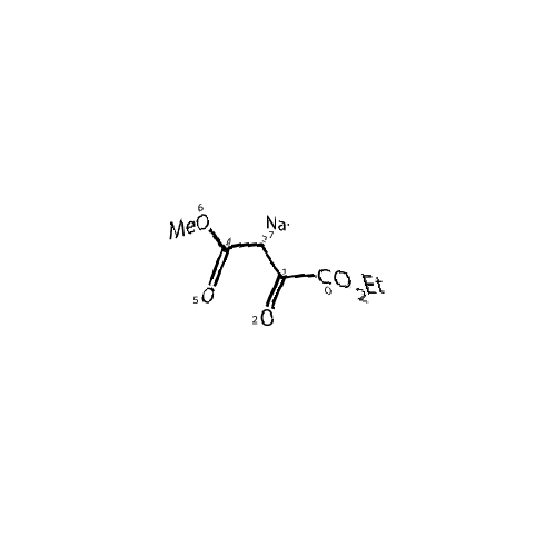 CCOC(=O)C(=O)CC(=O)OC.[Na]